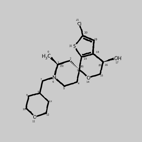 C[C@H]1C[C@@]2(CCN1CC1CCOCC1)OC[C@H](O)c1cc(Cl)sc12